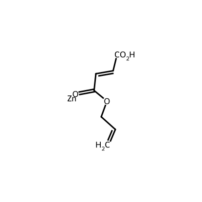 C=CCOC(=O)C=CC(=O)O.[Zn]